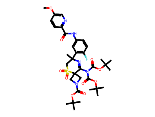 COc1ccc(C(=O)Nc2ccc(F)c(C3(C)CS(=O)(=O)C4(CN(C(=O)OC(C)(C)C)C4)C(N(C(=O)OC(C)(C)C)C(=O)OC(C)(C)C)=N3)c2)nc1